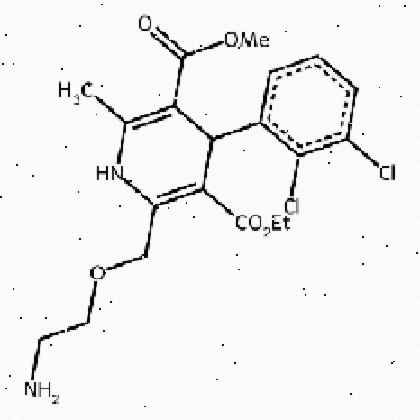 CCOC(=O)C1=C(COCCN)NC(C)=C(C(=O)OC)C1c1cccc(Cl)c1Cl